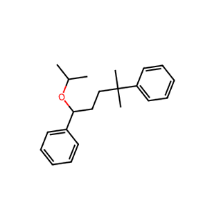 CC(C)OC(CCC(C)(C)c1ccccc1)c1ccccc1